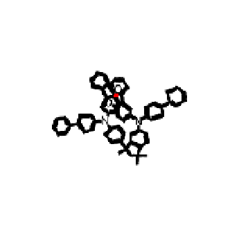 CC1(C)CC(C)(c2ccc(N(c3ccc(-c4ccccc4)cc3)c3ccc4oc5ccccc5c4c3)cc2)c2cc(N(c3ccc(-c4ccccc4)cc3)c3ccc4oc5ccccc5c4c3)ccc21